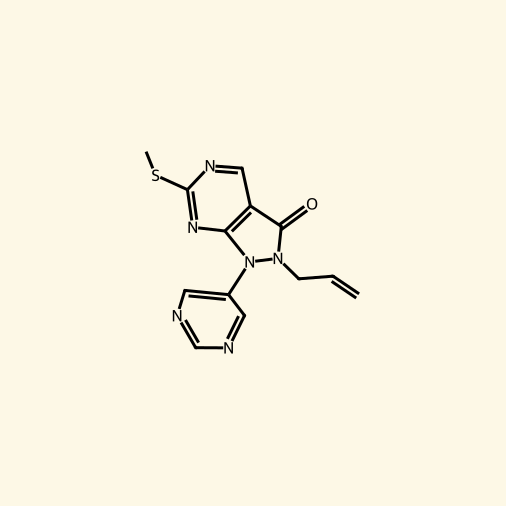 C=CCn1c(=O)c2cnc(SC)nc2n1-c1cncnc1